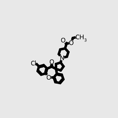 CCOC(=O)C1CCN(C2CCC3(C2)C(=O)c2cc(Cl)ccc2Oc2ccccc23)CC1